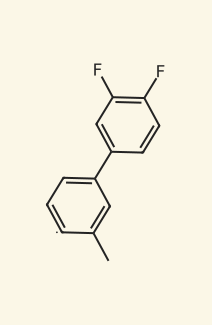 Cc1[c]ccc(-c2ccc(F)c(F)c2)c1